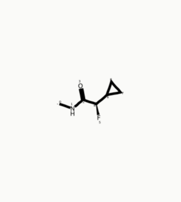 [CH2]NC(=O)[C@H](F)C1CC1